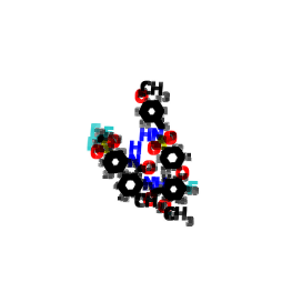 COc1ccc(CNS(=O)(=O)[C@H]2CC[C@H](Oc3cc(C(=O)N[C@H]4[C@@H](C(=O)Nc5cccc(S(=O)(=O)C(F)(F)F)c5)CCC[C@@H]4C)c(OC)cc3F)CC2)cc1